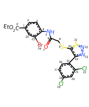 CCOC(=O)c1ccc(NC(=O)CSc2snnc2-c2ccc(Cl)cc2Cl)c(Br)c1